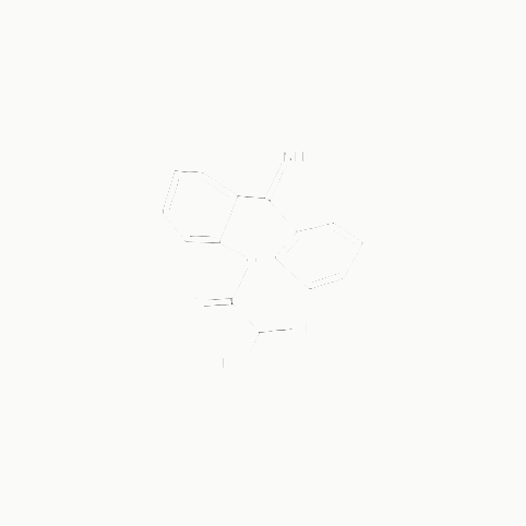 CC(C)C(=O)Oc1ccccc1C(=N)c1ccccc1